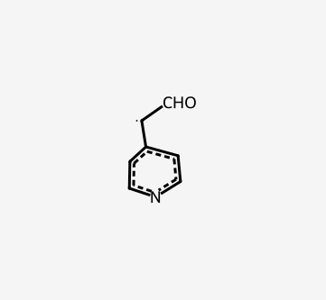 O=C[CH]c1ccncc1